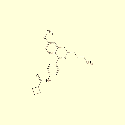 CCCCC1Cc2cc(OC)ccc2C(c2ccc(NC(=O)C3CCC3)cc2)=N1